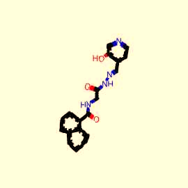 O=C(CNC(=O)c1cccc2ccccc12)NN=Cc1ccncc1O